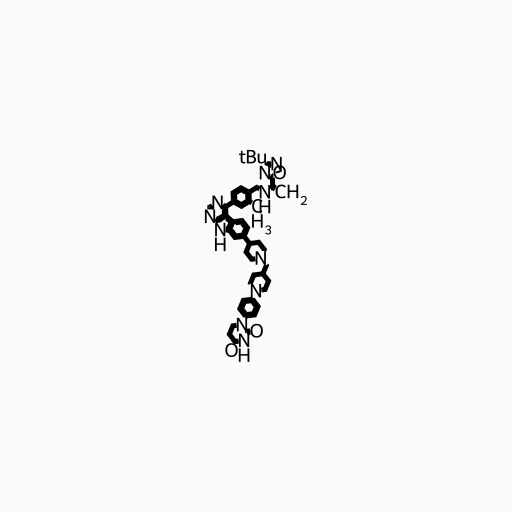 C=C(NCc1ccc(-c2ncnc3[nH]c4cc(C5CCN(CC6CCN(c7ccc(N8CCC(=O)NC8=O)cc7)CC6)CC5)ccc4c23)cc1C)c1nc(C(C)(C)C)no1